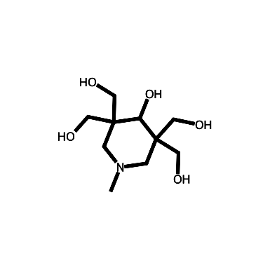 CN1CC(CO)(CO)C(O)C(CO)(CO)C1